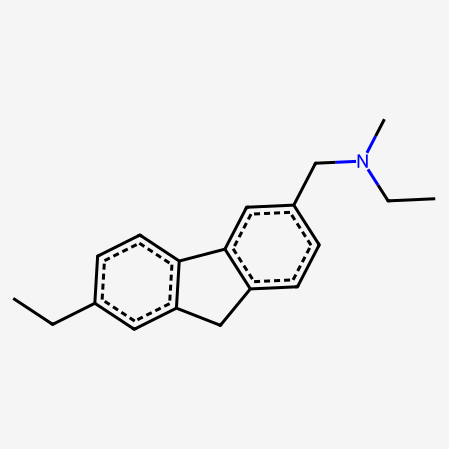 CCc1ccc2c(c1)Cc1ccc(CN(C)CC)cc1-2